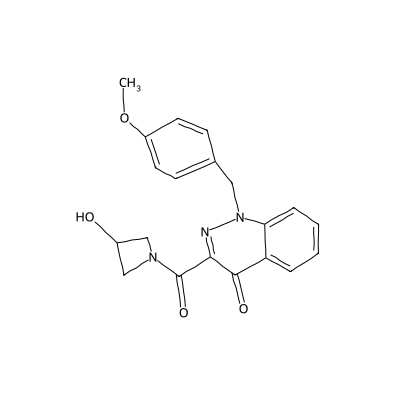 COc1ccc(Cn2nc(C(=O)N3CC(O)C3)c(=O)c3ccccc32)cc1